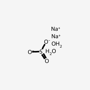 O.O.O=S([O-])[O-].[Na+].[Na+]